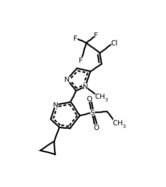 CCS(=O)(=O)c1cc(C2CC2)cnc1-c1ncc(/C=C(/Cl)C(F)(F)F)n1C